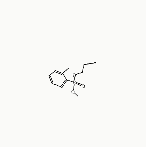 CCCOP(=O)(OC)c1ccccc1C